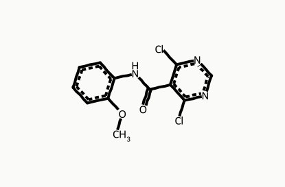 COc1ccccc1NC(=O)c1c(Cl)ncnc1Cl